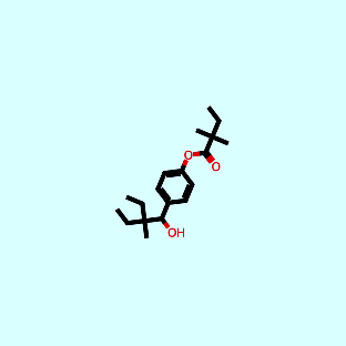 CCC(C)(C)C(=O)Oc1ccc(C(O)C(C)(CC)CC)cc1